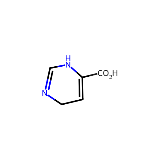 O=C(O)C1=CCN=CN1